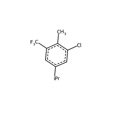 Cc1c(Cl)cc(C(C)C)cc1C(F)(F)F